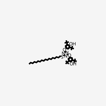 CCCCCCCCCCCCCCCCCCSc1nc(Oc2cc(C(C)(C)C)c(O)c(C(C)(C)C)c2)nc(Oc2cc(C(C)(C)C)c(O)c(C(C)(C)C)c2)n1